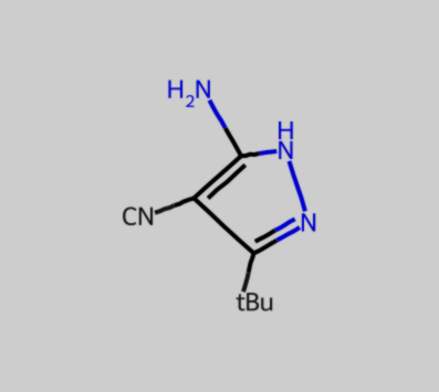 [C-]#[N+]c1c(C(C)(C)C)n[nH]c1N